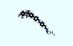 C/C=C/CCC1CCC(/C=C/C2CCC(c3ccc(C(F)(F)Oc4ccc(F)c(F)c4)c(F)c3)CC2)CC1